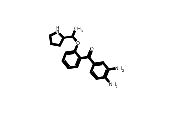 CC(Oc1ccccc1C(=O)c1ccc(N)c(N)c1)C1CCCN1